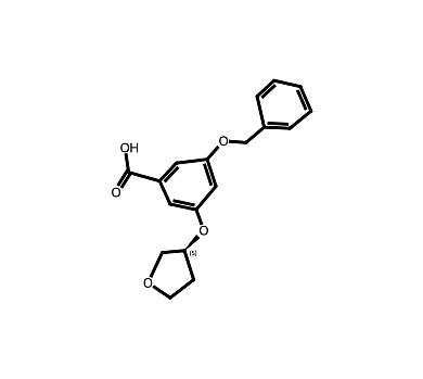 O=C(O)c1cc(OCc2ccccc2)cc(O[C@H]2CCOC2)c1